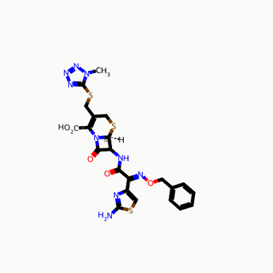 Cn1nnnc1SCC1=C(C(=O)O)N2C(=O)C(NC(=O)C(=NOCc3ccccc3)c3csc(N)n3)[C@@H]2SC1